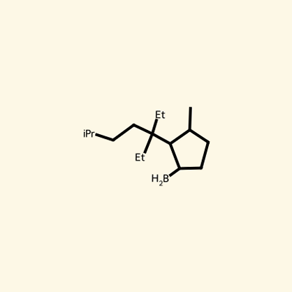 BC1CCC(C)C1C(CC)(CC)CCC(C)C